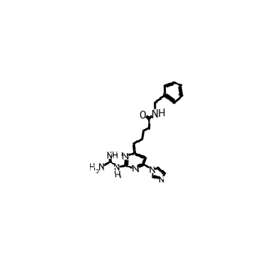 N=C(N)Nc1nc(CCCCC(=O)NCc2ccccc2)cc(-n2ccnc2)n1